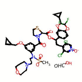 CS(=O)(=O)N(CCN1CCOCC1)c1cc(OCC2CC2)cc(C(=O)N2CCSC2C(=O)OC(Cc2c(Cl)c[n+]([O-])cc2Cl)c2ccc(OC(F)F)c(OCC3CC3)c2)c1.O=CO